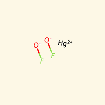 [Hg+2].[O-]F.[O-]F